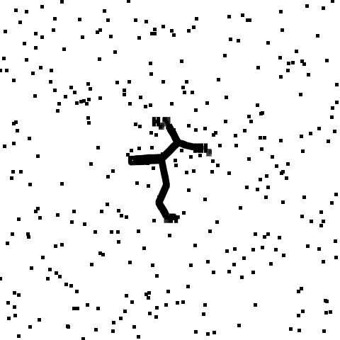 CCCCCC(=O)C(N)N